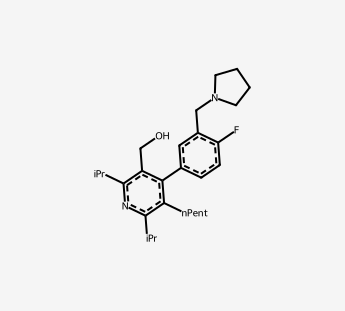 CCCCCc1c(C(C)C)nc(C(C)C)c(CO)c1-c1ccc(F)c(CN2CCCC2)c1